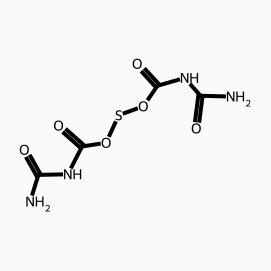 NC(=O)NC(=O)OSOC(=O)NC(N)=O